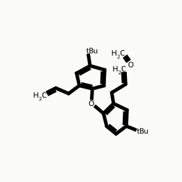 C=CCc1cc(C(C)(C)C)ccc1Oc1ccc(C(C)(C)C)cc1CC=C.C=O